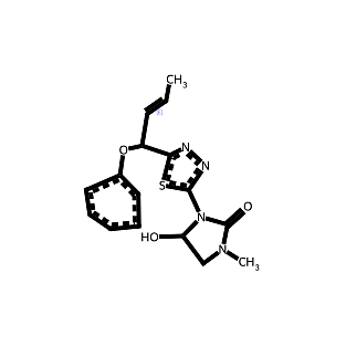 C/C=C/C(Oc1ccccc1)c1nnc(N2C(=O)N(C)CC2O)s1